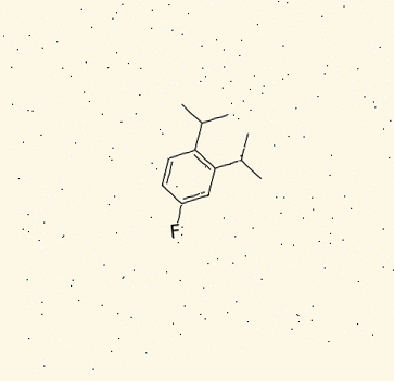 C[C](C)c1cc(F)ccc1C(C)C